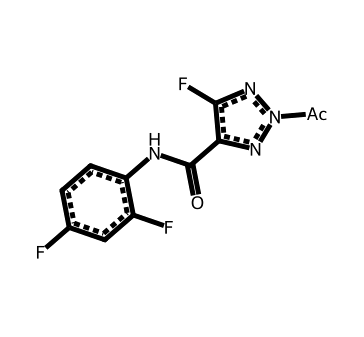 CC(=O)n1nc(F)c(C(=O)Nc2ccc(F)cc2F)n1